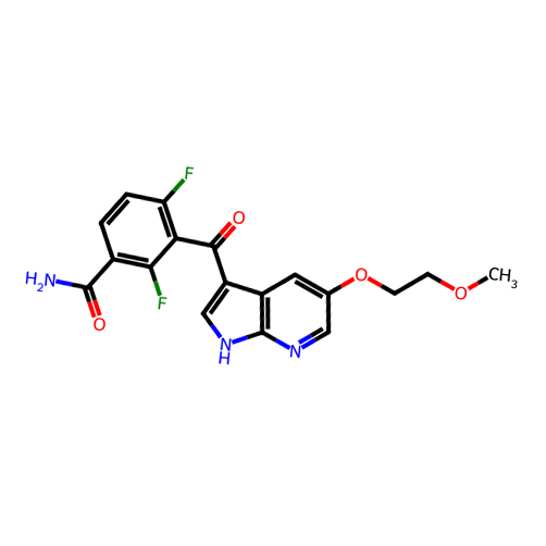 COCCOc1cnc2[nH]cc(C(=O)c3c(F)ccc(C(N)=O)c3F)c2c1